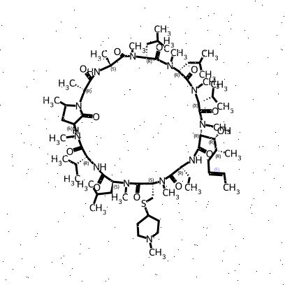 C/C=C/C[C@@H](C)[C@@H](O)[C@@H]1C(=O)N[C@H](CC)C(=O)N(C)[C@H](CSC2CCN(C)CC2)C(=O)N(C)[C@@H](CC(C)C)C(=O)N[C@H](C(C)C)C(=O)N(C)[C@@H]2CC(C)N(C2=O)[C@H](C)C(=O)N[C@@H](C)C(=O)N(C)[C@H](CC(C)C)C(=O)N(C)[C@H](CC(C)C)C(=O)N(C)[C@H](C(C)C)C(=O)N1C